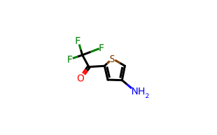 Nc1csc(C(=O)C(F)(F)F)c1